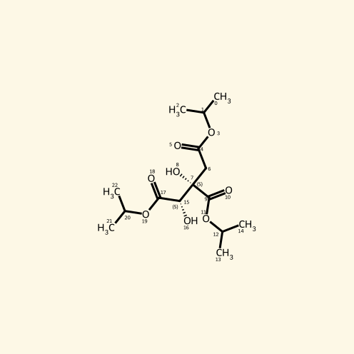 CC(C)OC(=O)C[C@@](O)(C(=O)OC(C)C)[C@H](O)C(=O)OC(C)C